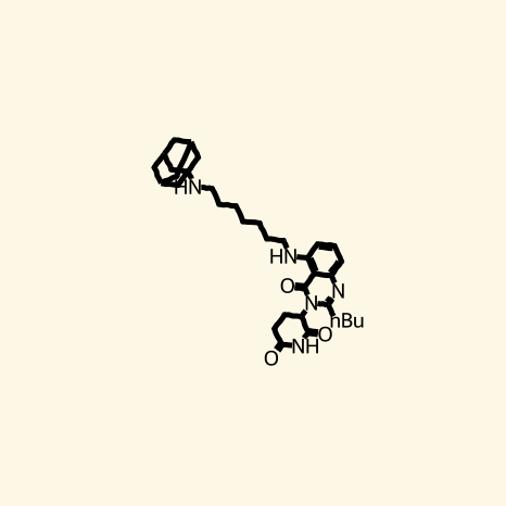 CCCCc1nc2cccc(NCCCCCCCNC34CC5CC(CC(C5)C3)C4)c2c(=O)n1C1CCC(=O)NC1=O